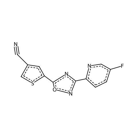 N#Cc1csc(-c2nc(-c3ccc(F)cn3)no2)c1